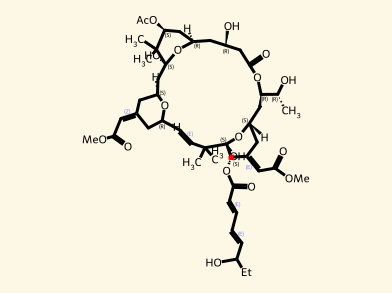 CCC(O)/C=C/C=C/C(=O)O[C@H]1/C(=C/C(=O)OC)C[C@H]2C[C@H]([C@@H](C)O)OC(=O)C[C@H](O)C[C@@H]3C[C@H](OC(C)=O)C(C)(C)[C@](O)(C[C@@H]4C/C(=C/C(=O)OC)C[C@H](/C=C/C(C)(C)[C@]1(O)O2)O4)O3